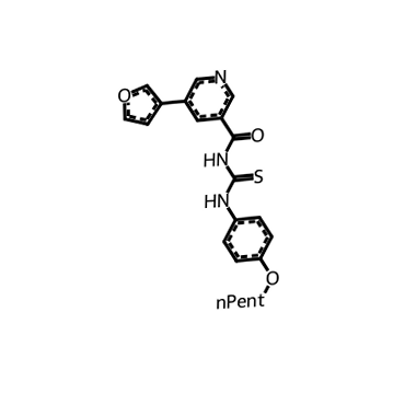 CCCCCOc1ccc(NC(=S)NC(=O)c2cncc(-c3ccoc3)c2)cc1